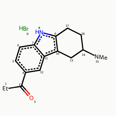 Br.CCC(=O)c1ccc2[nH]c3c(c2c1)CC(NC)CC3